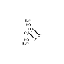 O=[N+]([O-])[O-].O=[N+]([O-])[O-].[Ba+2].[Ba+2].[OH-].[OH-]